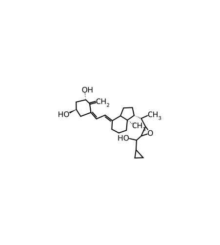 C=C1/C(=C\C=C2/CCC[C@@]3(C)C2CC[C@@H]3C(C)C2OC2C(O)C2CC2)C[C@@H](O)C[C@@H]1O